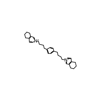 c1cc(CCCC[n+]2ccc3c(c2)CCCC3)ccc1CCCC[n+]1ccc2c(c1)CCCC2